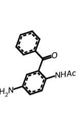 CC(=O)Nc1ccc(N)cc1C(=O)c1ccccc1